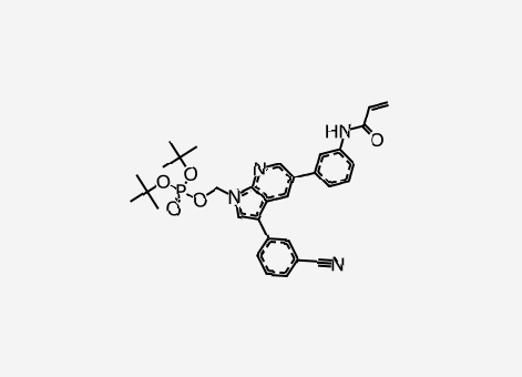 C=CC(=O)Nc1cccc(-c2cnc3c(c2)c(-c2cccc(C#N)c2)cn3COP(=O)(OC(C)(C)C)OC(C)(C)C)c1